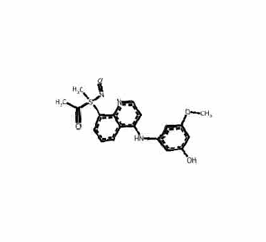 COc1cc(O)cc(Nc2ccnc3c(S(C)(N=O)C(C)=O)cccc23)c1